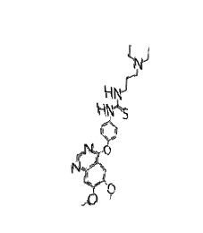 CCN(CC)CCCNC(=S)Nc1ccc(Oc2ncnc3cc(OC)c(OC)cc23)cc1